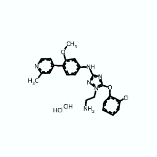 COc1cc(Nc2nc(Oc3ccccc3Cl)n(CCN)n2)ccc1-c1ccnc(C)c1.Cl.Cl